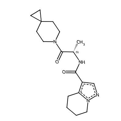 C[C@H](NC(=O)c1cnn2c1CCCC2)C(=O)N1CCC2(CC1)CC2